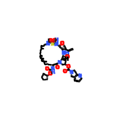 C=C[C@@H]1C[C@@]12NC(=O)[C@@H]1C[C@@H](OC(=O)N3Cc4cccnc4C3)CN1C(=O)[C@@H](NC(=O)OC1CCCC1)CCCCCCCCN(C)S(=O)(=O)NC2=O